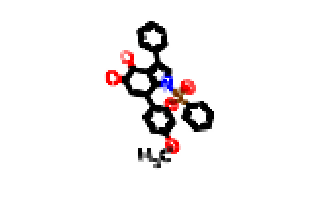 COc1ccc(C2=CC(=O)C(=O)c3c(-c4ccccc4)cn(S(=O)(=O)c4ccccc4)c32)cc1